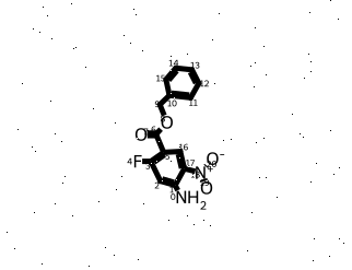 Nc1cc(F)c(C(=O)OCc2ccccc2)cc1[N+](=O)[O-]